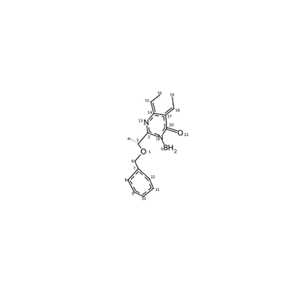 Bn1c([C@@H](C)OCc2ccccc2)nc(=C/C)/c(=C\C)c1=O